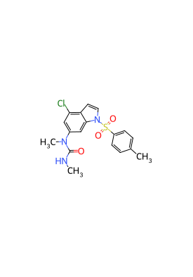 CNC(=O)N(C)c1cc(Cl)c2ccn(S(=O)(=O)c3ccc(C)cc3)c2c1